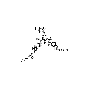 CC(=O)CCNC(=O)CCc1cn(CC(=O)N[C@H](C(=O)N[C@@H](CCCNC(N)=O)C(=O)Nc2ccc(CNC(=O)O)cc2)C(C)C)nn1